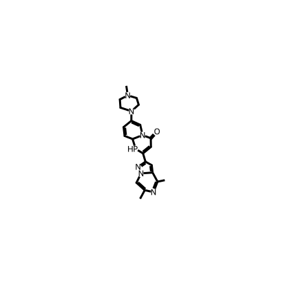 Cc1cn2nc(C3=CC(=O)N4C=C(N5CCN(C)CC5)C=CC4P3)cc2c(C)n1